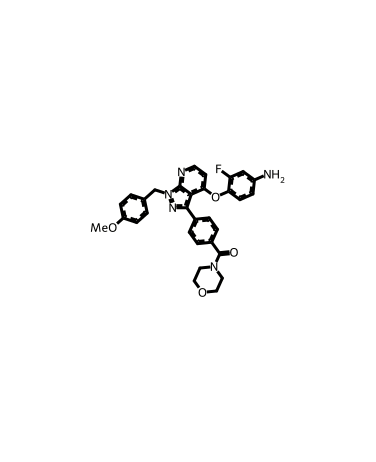 COc1ccc(Cn2nc(-c3ccc(C(=O)N4CCOCC4)cc3)c3c(Oc4ccc(N)cc4F)ccnc32)cc1